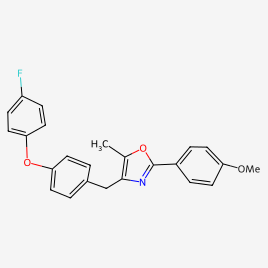 COc1ccc(-c2nc(Cc3ccc(Oc4ccc(F)cc4)cc3)c(C)o2)cc1